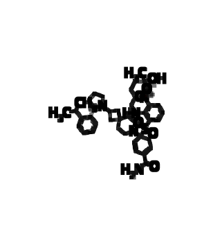 CC(C)c1ccccc1[C@@H]1CCCN1C1CC2(CCN(C3(S(=O)(=O)c4cccc([N+](=O)[O-])c4NCC4CCC(C)(O)CC4)C=CC(C(N)=O)=CC3)CC2)C1